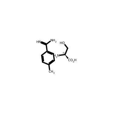 Cc1ccc(C(=N)N)cc1.N[C@@H](CO)C(=O)O